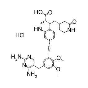 COc1cc(Cc2cnc(N)nc2N)cc(C#Cc2ccc3c(c2)NC=C(C(=O)O)C3CC2CCNC(=O)C2)c1OC.Cl